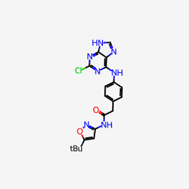 CC(C)(C)c1cc(NC(=O)Cc2ccc(Nc3nc(Cl)nc4[nH]cnc34)cc2)no1